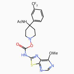 COc1ncnc2sc(NC(=O)ON3CCC(NC(C)=O)(c4cccc(C(F)(F)F)c4)CC3)nc12